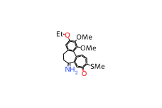 CCOc1cc2c(c(OC)c1OC)-c1ccc(SC)c(=O)cc1[C@@H](N)CC2